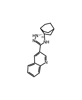 c1ccc2ncc(C3=NN[C@]4(CC5CCC4CC5)N3)cc2c1